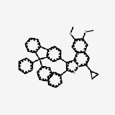 COc1cc2cc(C3CC3)n3nc(-c4ccccc4)c(-c4ccc5c(c4)C(c4ccccc4)(c4ccccc4)c4ccccc4-5)c3c2cc1OC